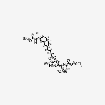 COC[C@H](NC(=O)[C@@H](OC(=O)C(C)(C)/C=C/c1ccc2ccc([C@@H](C)NC(=O)OC(C)(C)C)nc2c1)C(C)C)C(=O)N1CCC[C@@H](C(=O)OCC(Cl)(Cl)Cl)N1